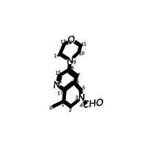 CC1CN(C=O)Cc2cc(N3CCOCC3)cnc21